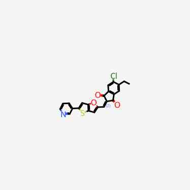 CCc1cc2c(cc1Cl)C(=O)/C(=C\c1cc3sc(-c4cccnc4)cc3o1)C2=O